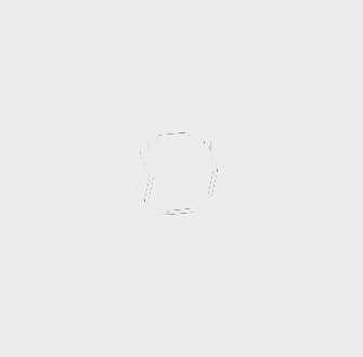 C1=C\C=C\C=C/C[N]\C=C/1